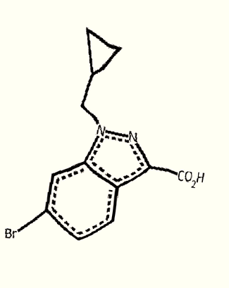 O=C(O)c1nn(CC2CC2)c2cc(Br)ccc12